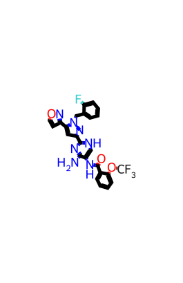 NC1=NC(c2cc(-c3ccon3)n(Cc3ccccc3F)n2)NC=C1NC(=O)c1ccccc1OC(F)(F)F